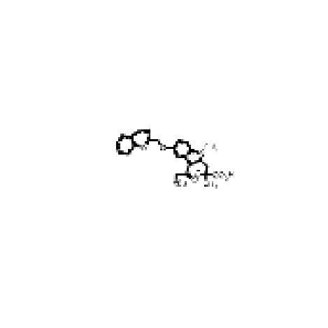 Cn1c(CC(C)(C)C(=O)O)c(C(=O)CC(C)(C)C)c2cc(OCc3ccc4ccccc4n3)ccc21